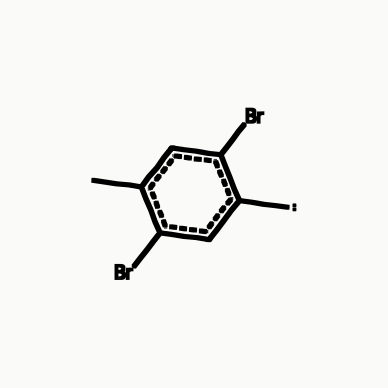 [CH]c1cc(Br)c(C)cc1Br